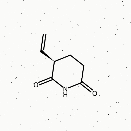 C=C[C@H]1CCC(=O)NC1=O